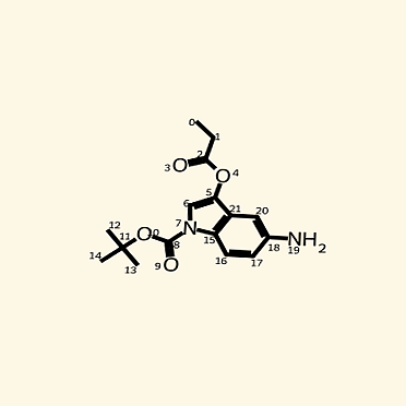 CCC(=O)Oc1cn(C(=O)OC(C)(C)C)c2ccc(N)cc12